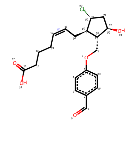 O=Cc1ccc(OC[C@@H]2[C@@H](C/C=C\CCCC(=O)O)[C@H](Cl)C[C@H]2O)cc1